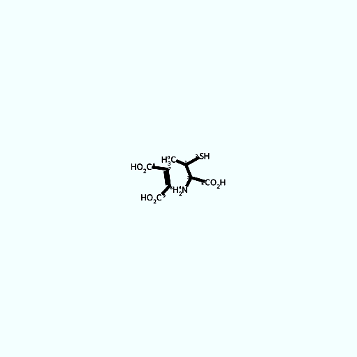 CC(S)C(N)C(=O)O.O=C(O)/C=C\C(=O)O